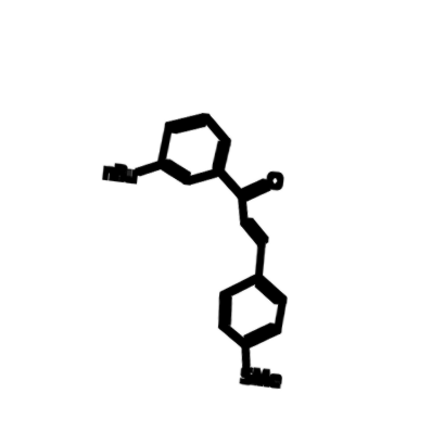 CCCCc1cccc(C(=O)C=Cc2ccc(SC)cc2)c1